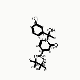 CC(O)(c1cccc(Cl)c1)n1ccc(B2OC(C)(C)C(C)(C)O2)cc1=O